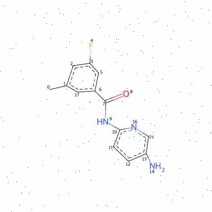 Cc1cc(F)cc(C(=O)Nc2ccc(N)cn2)c1